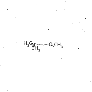 CCOCCCCCCN(C)C